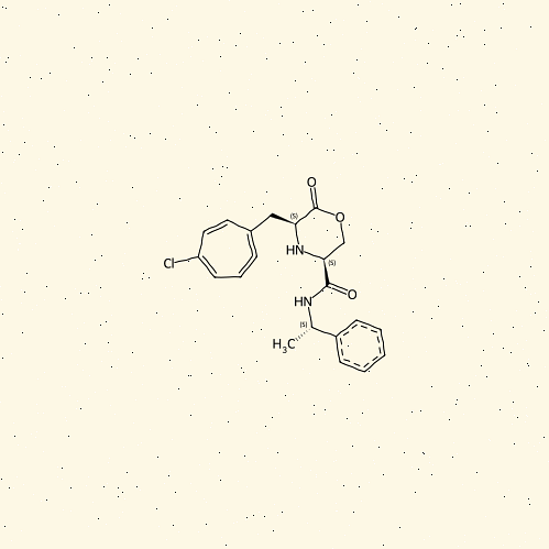 C[C@H](NC(=O)[C@@H]1COC(=O)[C@H](CC2=C=CC=C(Cl)C=C2)N1)c1ccccc1